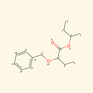 CCC(C)OC(=O)C(CC)OCc1ccccc1